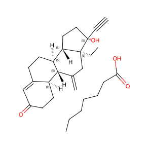 C#C[C@]1(O)CC[C@H]2[C@@H]3CCC4=CC(=O)CC[C@@H]4[C@H]3C(=C)C[C@@]21CC.CCCCCCC(=O)O